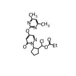 CCC(=O)OC(Cl)C1CCCC1n1ncc(Oc2nc(C)cc(C)n2)cc1=O